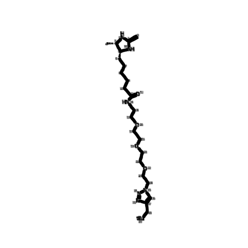 C=C1N[C@@H](C)[C@@H](CCCCCC(=O)NCCOCCOCCOCCn2cc(CC(C)(C)C)nn2)N1